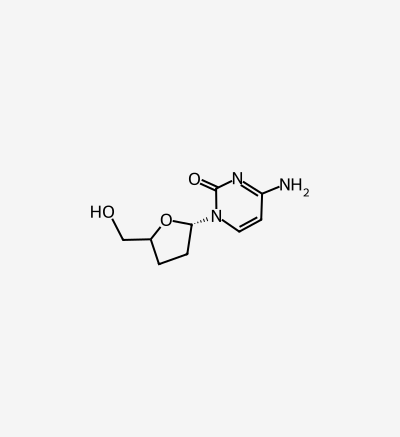 Nc1ccn([C@@H]2CCC(CO)O2)c(=O)n1